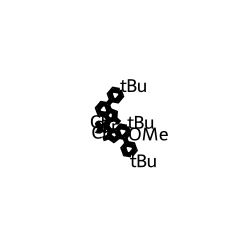 COc1c(C(C)(C)C)cc2c(c1-c1ccc(C(C)(C)C)cc1)C=C(C)[CH]2[Zr]([Cl])([Cl])([CH]1C(C)=Cc2c(-c3ccc(C(C)(C)C)cc3)cccc21)=[Si](C)C